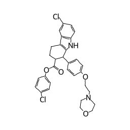 O=C(Oc1ccc(Cl)cc1)C1CCc2c([nH]c3ccc(Cl)cc23)C1c1ccc(OCCN2CCOCC2)cc1